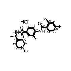 Cc1cc(S(=O)(=O)N[C@H](C)C2CCN(C)CC2)ccc1NC(=O)c1ccc(F)cc1C.Cl